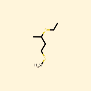 CCSC(C)CCS[SiH3]